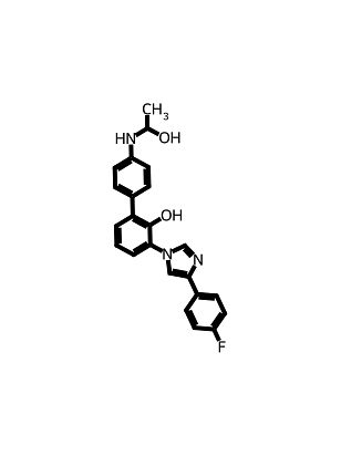 CC(O)Nc1ccc(-c2cccc(-n3cnc(-c4ccc(F)cc4)c3)c2O)cc1